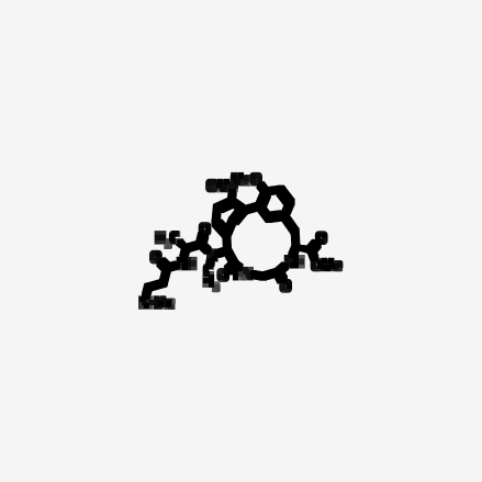 COC(=O)[C@@H]1Cc2ccc(OC)c(c2)-c2cc(ccc2OC)C(N(C)C(=O)[C@H](C)NC(=O)CCNC(C)=O)C(=O)NCC(=O)N1